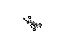 C#CCC(NC(=O)[C@@H](Cc1ccccc1)OC(=O)N(C)CCN(C)C)C(=O)N[C@@H](CC1CCCCC1)[C@@H](O)[C@@H](O)CC(C)C